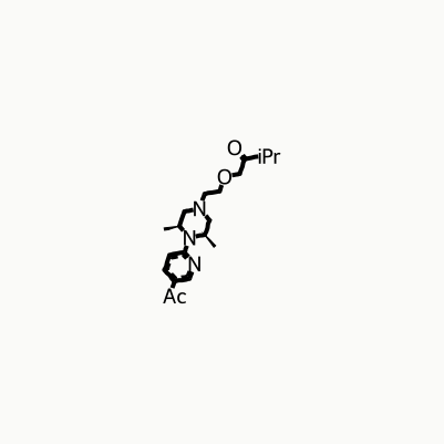 CC(=O)c1ccc(N2[C@H](C)CN(CCOCC(=O)C(C)C)C[C@@H]2C)nc1